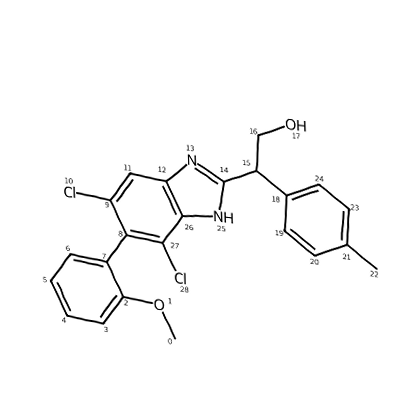 COc1ccccc1-c1c(Cl)cc2nc(C(CO)c3ccc(C)cc3)[nH]c2c1Cl